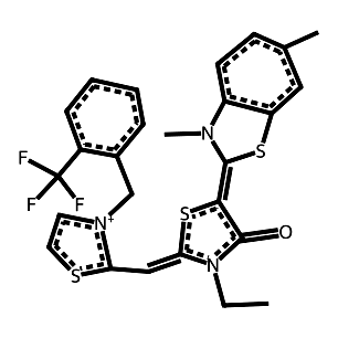 CCn1c(=O)/c(=C2\Sc3cc(C)ccc3N2C)s/c1=C\c1scc[n+]1Cc1ccccc1C(F)(F)F